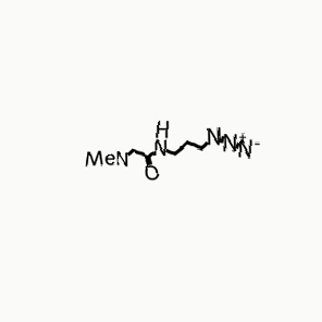 CNCC(=O)NCCCN=[N+]=[N-]